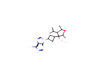 CC(C)C(C(C)C)C(O[SiH3])(C(C)C)C1CC(n2cnc3c(N)ncnc32)C1